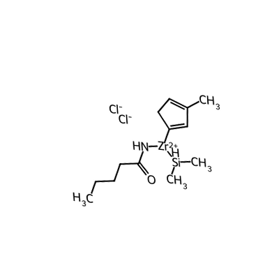 CCCCC(=O)[NH][Zr+2]([C]1=CC(C)=CC1)[SiH](C)C.[Cl-].[Cl-]